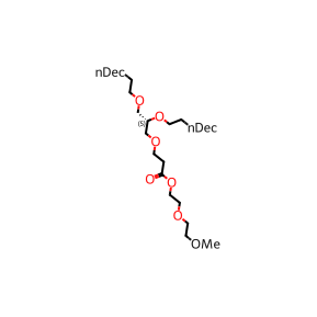 CCCCCCCCCCCCOC[C@@H](COCCC(=O)OCCOCCOC)OCCCCCCCCCCCC